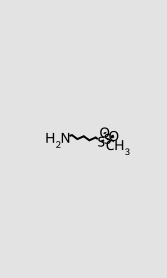 CS(=O)(=O)SCCCCCN